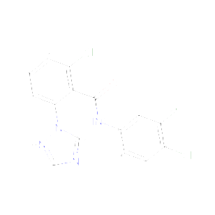 O=C(Nc1ccc(Cl)c(Cl)c1)c1c(Cl)cccc1-n1cncn1